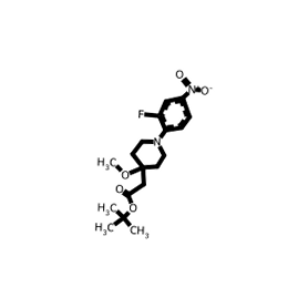 COC1(CC(=O)OC(C)(C)C)CCN(c2ccc([N+](=O)[O-])cc2F)CC1